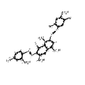 Nc1c(N=Nc2cc(Cl)c(S(=O)(=O)O)cc2Cl)cc(S(=O)(=O)O)c2cc(S(=O)(=O)O)c(N=Nc3ccc([N+](=O)[O-])cc3S(=O)(=O)O)c(O)c12